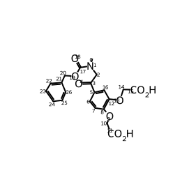 CN(CC(=O)c1ccc(OCC(=O)O)c(OCC(=O)O)c1)C(=O)OCc1ccccc1